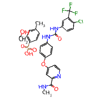 CNC(=O)c1cc(Oc2ccc(NC(=O)Nc3ccc(Cl)c(C(F)(F)F)c3)cc2)ccn1.CO.Cc1ccc(S(=O)(=O)O)cc1